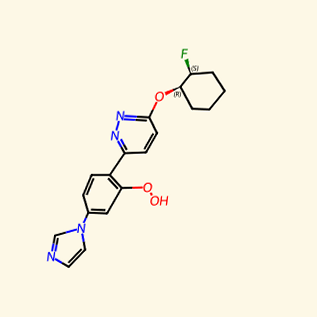 OOc1cc(-n2ccnc2)ccc1-c1ccc(O[C@@H]2CCCC[C@@H]2F)nn1